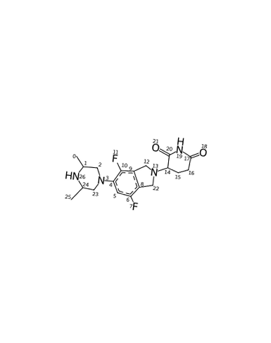 CC1CN(c2cc(F)c3c(c2F)CN(C2CCC(=O)NC2=O)C3)CC(C)N1